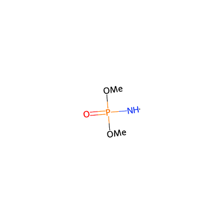 COP([NH])(=O)OC